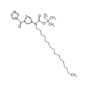 CCCCCCCCCCCCCCCCN(C(=O)OC(C)(C)C)c1csc(C(=O)n2ccnc2)c1